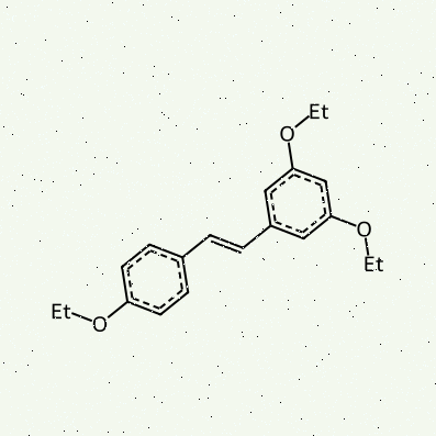 CCOc1ccc(C=Cc2cc(OCC)cc(OCC)c2)cc1